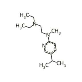 CCN(CC)CCN(C)c1ccc(C(C)C)cn1